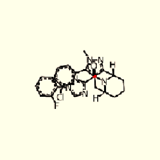 Cn1nc2c(c1-c1cccc(Cl)c1)C[C@H]1CCC[C@@H]2N1C(=O)c1ncn(-c2ccccc2F)n1